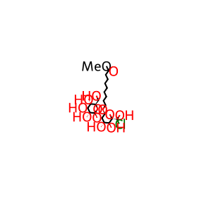 COC(=O)CCCCCCCCO[C@H]1O[C@H](C(O)Cl)[C@@H](O)[C@H](O)[C@H]1O[C@@H]1O[C@H](CO)[C@@H](O)[C@H](O)[C@H]1O